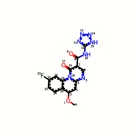 COc1cc2ncc(C(=O)Nc3nnn[nH]3)c(=O)n2c2cc(F)ccc12